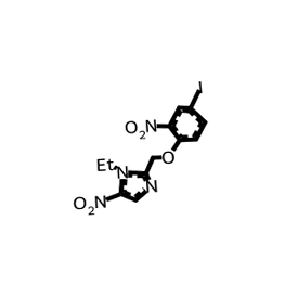 CCn1c([N+](=O)[O-])cnc1COc1ccc(I)cc1[N+](=O)[O-]